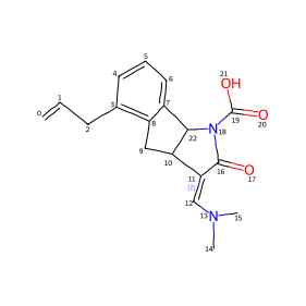 C=CCc1cccc2c1CC1/C(=C/N(C)C)C(=O)N(C(=O)O)C21